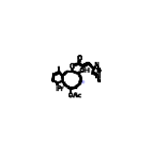 CC(=O)OC1C/C=C\C(O)C(OC(=O)C=Cc2cn(C)cn2)CC2C(C)=CCC(C(C)C)C2C1